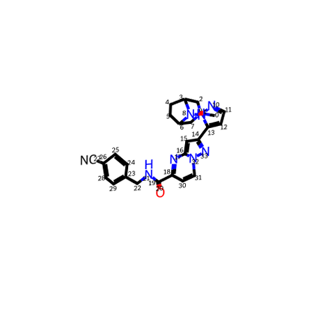 CN1CC2CCC(C1)N2n1nccc1-c1cc2nc(C(=O)NCc3ccc(C#N)cc3)ccn2n1